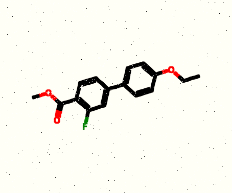 CCOc1ccc(-c2ccc(C(=O)OC)c(F)c2)cc1